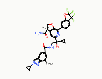 COc1cc(C(=O)NCC(O)(c2cc3c(c(-c4ccc5c(c4)OC(F)(F)C5(F)F)n2)OC[C@]3(C)C(N)=O)C2CC2)cc2cn(C3CC3)nc12